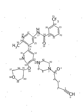 C#CCCCC(=O)N1CCN(c2cc(-c3cc(NC(=O)c4cccc(C(F)(F)F)c4)cnc3C)cnc2OC2CCOCC2)CC1